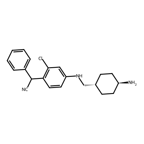 N#CC(c1ccccc1)c1ccc(NC[C@H]2CC[C@H](N)CC2)cc1Cl